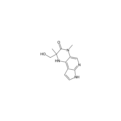 CN1C(=O)C(C)(CO)Nc2c1cnc1[nH]ccc21